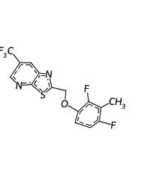 Cc1c(F)ccc(OCc2nc3cc(C(F)(F)F)cnc3s2)c1F